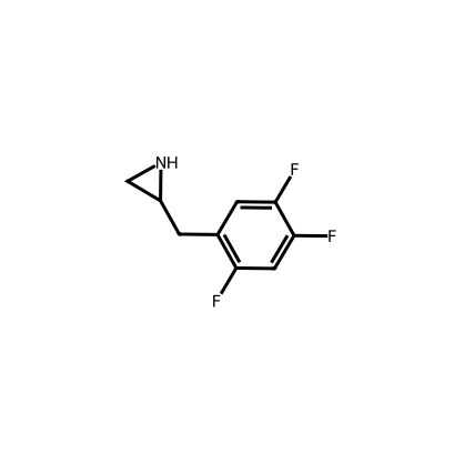 Fc1cc(F)c(CC2CN2)cc1F